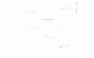 O=C(O)c1cc(OC2CC2)c2cc(Br)ccc2n1